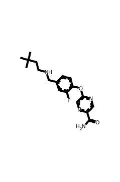 CC(C)(C)CCNCc1ccc(Oc2cnc(C(N)=O)cn2)c(F)c1